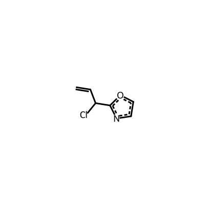 C=CC(Cl)c1ncco1